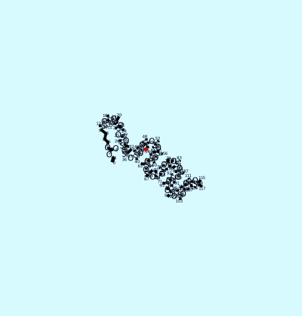 C=COC(=O)OCCCC[Si](C)(C)O[Si](C)(C)O[Si](C)(C)O[Si](C)(C)O[Si](C)(C)O[Si](C)(C)O[Si](C)(C)O[Si](C)(C)O[Si](C)(C)O[Si](C)(C)O[Si](C)(C)O[Si](C)(C)O[Si](C)(C)O[Si](C)(C)O[Si](C)(C)O[Si](C)(C)O[Si](C)(C)O[Si](C)(C)O[Si](C)(C)O[Si](C)(C)O[Si](C)(C)O[Si](C)(C)O[Si](C)(C)O[Si](C)(C)O[Si](C)(C)O[Si](C)(C)O[Si](C)(C)C